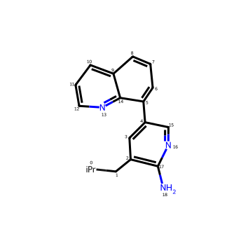 CC(C)Cc1cc(-c2cccc3cccnc23)cnc1N